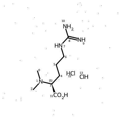 CN(C)[C@@H](CCCNC(=N)N)C(=O)O.Cl.Cl